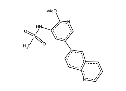 COc1ncc(-c2ccc3ncccc3c2)cc1NS(C)(=O)=O